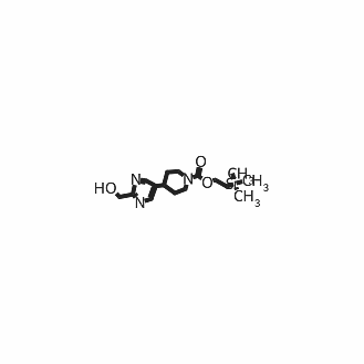 C[Si](C)(C)CCOC(=O)N1CCC(c2cnc(CO)nc2)CC1